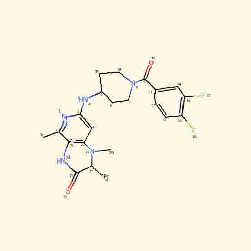 Cc1nc(NC2CCN(C(=O)c3ccc(F)c(F)c3)CC2)cc2c1NC(=O)C(C(C)C)N2C